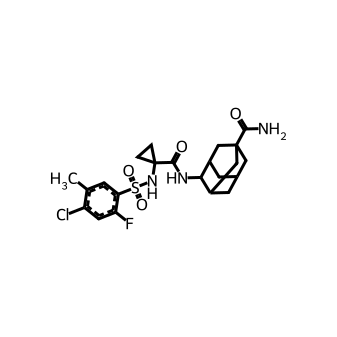 Cc1cc(S(=O)(=O)NC2(C(=O)NC3C4CC5CC3CC(C(N)=O)(C5)C4)CC2)c(F)cc1Cl